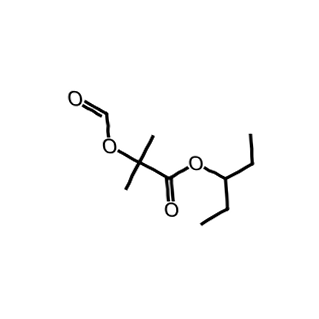 CCC(CC)OC(=O)C(C)(C)OC=O